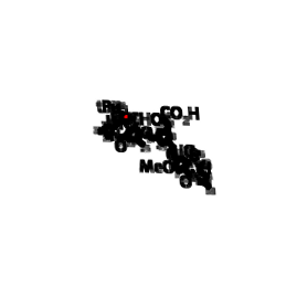 COc1cc2c(cc1OCc1cc(/C=C/C(=O)O)cc(COc3cc4c(cc3C)C(=O)N3C=C(C)C[C@H]3[C@H](O[Si](C)(C)C(C)(C)C)N4BC=O)c1)N(B(C)O)[C@@H](C)[C@@H]1CC(C)=CN1C2=O